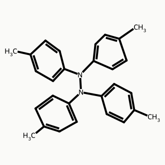 Cc1ccc(N(c2ccc(C)cc2)N(c2ccc(C)cc2)c2ccc(C)cc2)cc1